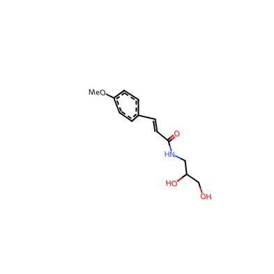 COc1ccc(C=CC(=O)NCC(O)CO)cc1